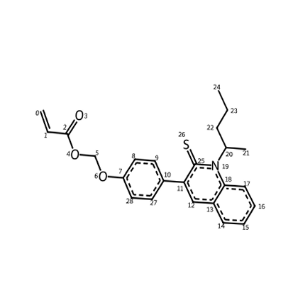 C=CC(=O)OCOc1ccc(-c2cc3ccccc3n(C(C)CCC)c2=S)cc1